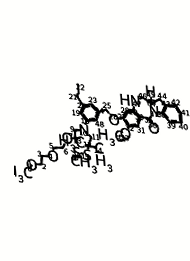 COCCOCCOCCN(CC(C)(C)SSC)c1cc(CI)cc(COc2cc3c(cc2OC)C(=O)N2c4ccccc4C[C@H]2CN3)c1